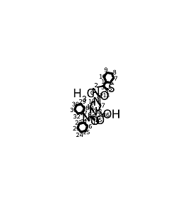 CN(Cc1csc2ccccc12)C(=O)N1CCN(C(=O)N(c2ccccc2)c2ccccc2)[C@H](C(=O)O)C1